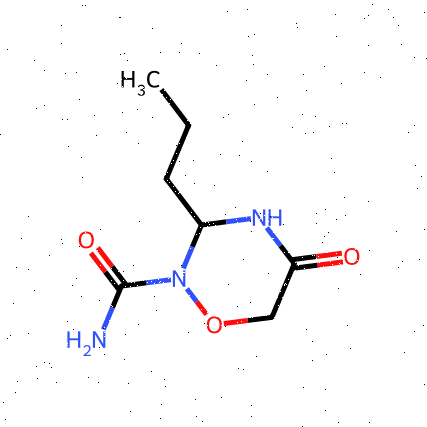 CCCC1NC(=O)CON1C(N)=O